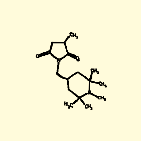 CC1CC(=O)N(CC2CC(C)(C)N(C)C(C)(C)C2)C1=O